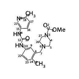 COC(=O)N1CCN(Cc2cc(NC(=O)Nc3ccc(C)nc3)ccc2C)CC1